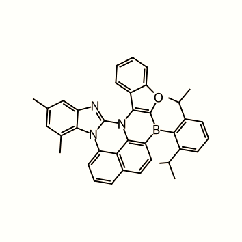 Cc1cc(C)c2c(c1)nc1n3c4c(ccc5cccc(c54)n21)B(c1c(C(C)C)cccc1C(C)C)c1oc2ccccc2c1-3